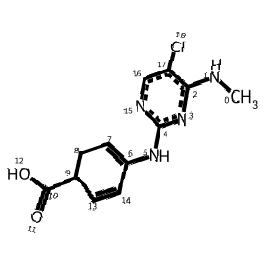 CNc1nc(NC2=CCC(C(=O)O)C=C2)ncc1Cl